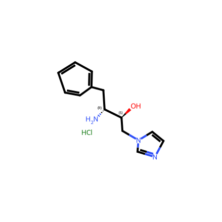 Cl.N[C@H](Cc1ccccc1)[C@@H](O)Cn1ccnc1